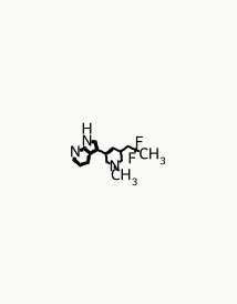 CN1CC(c2c[nH]c3ncccc23)=CC(CC(C)(F)F)C1